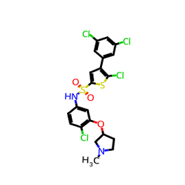 CN1CCC(Oc2cc(NS(=O)(=O)c3cc(-c4cc(Cl)cc(Cl)c4)c(Cl)s3)ccc2Cl)C1